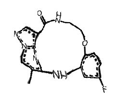 Cc1cn2ncc3c2nc1NCc1cc(F)ccc1OCCNC3=O